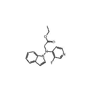 CCOC(=O)CN(c1ccncc1F)n1ccc2ccccc21